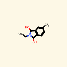 CC(=O)OCN1C(O)c2ccc(C(F)(F)F)cc2C1O